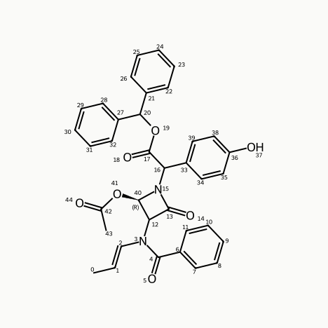 CC=CN(C(=O)c1ccccc1)C1C(=O)N(C(C(=O)OC(c2ccccc2)c2ccccc2)c2ccc(O)cc2)[C@@H]1OC(C)=O